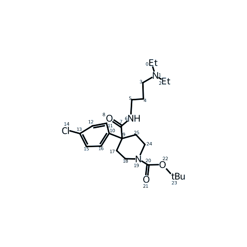 CCN(CC)CCCNC(=O)C1(c2ccc(Cl)cc2)CCN(C(=O)OC(C)(C)C)CC1